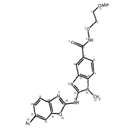 COCCONC(=O)c1ccc2c(c1)nc(Nc1nc3ccc(C(C)=O)cc3o1)n2C